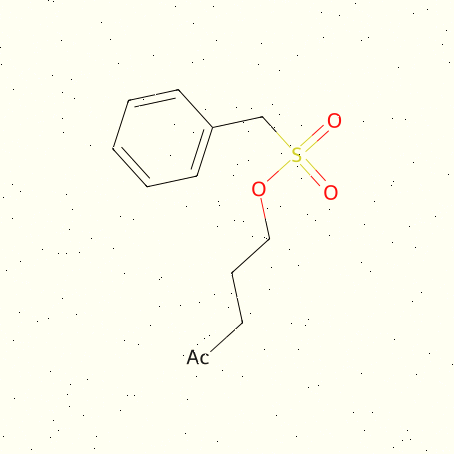 CC(=O)CCCOS(=O)(=O)Cc1ccccc1